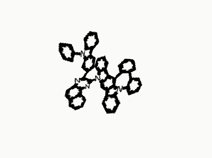 c1ccc(-n2c3ccccc3c3ccc(-c4nc5ccc6ccccc6c5nc4-n4c5ccccc5c5c6c7c(cc54)c4ccccc4n7-c4ccccc4-c4ccccc4-6)cc32)cc1